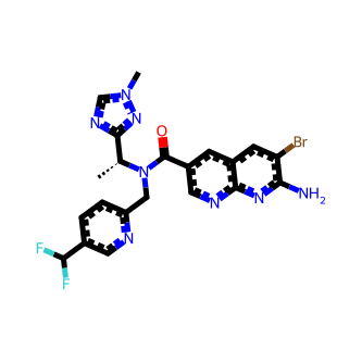 C[C@H](c1ncn(C)n1)N(Cc1ccc(C(F)F)cn1)C(=O)c1cnc2nc(N)c(Br)cc2c1